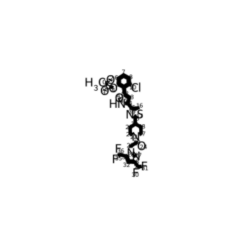 CS(=O)(=O)Oc1cccc(Cl)c1C1=CC(c2csc(C3CCN(C(=O)Cn4nc(C(F)F)cc4C(F)F)CC3)n2)NO1